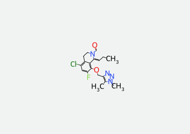 CC/C=C1/c2c(c(Cl)cc(F)c2OCc2nnn(C)c2C)CCN1C=O